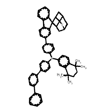 CC1(C)CCC(C)(C)c2cc(N(c3ccc(-c4cccc(-c5ccccc5)c4)cc3)c3ccc(-c4ccc5c(c4)C4(c6ccccc6-5)C5CC6CC7CC4C75C6)cc3)ccc21